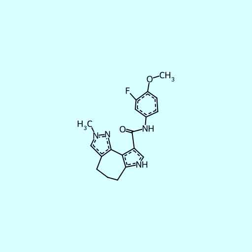 COc1ccc(NC(=O)c2c[nH]c3c2-c2nn(C)cc2CCC3)cc1F